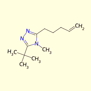 C=CCCCc1nnc(C(C)(C)C)n1C